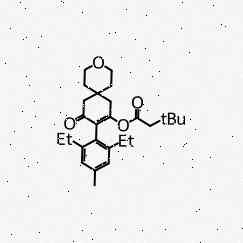 CCc1cc(C)cc(CC)c1C1=C(OC(=O)CC(C)(C)C)CC2(CCOCC2)CC1=O